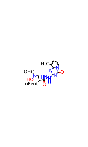 CCCCCC(CN(O)C=O)C(=O)NNc1nc(=O)n2cccc(C)c2n1